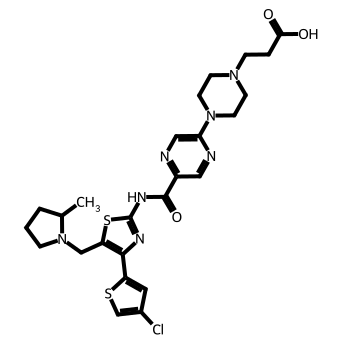 CC1CCCN1Cc1sc(NC(=O)c2cnc(N3CCN(CCC(=O)O)CC3)cn2)nc1-c1cc(Cl)cs1